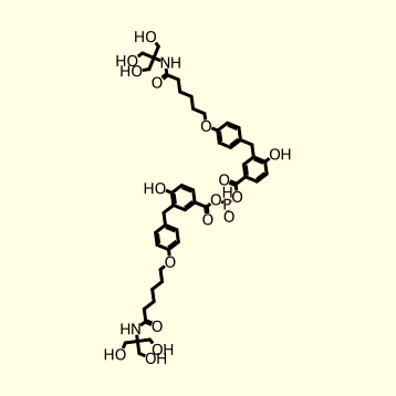 O=C(CCCCCOc1ccc(Cc2cc(C(=O)O[PH](=O)OC(=O)c3ccc(O)c(Cc4ccc(OCCCCCC(=O)NC(CO)(CO)CO)cc4)c3)ccc2O)cc1)NC(CO)(CO)CO